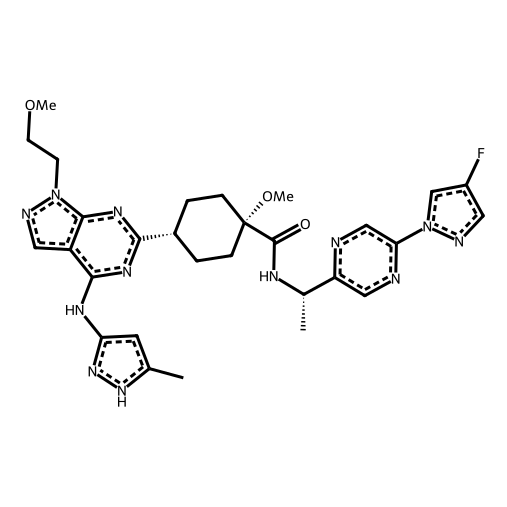 COCCn1ncc2c(Nc3cc(C)[nH]n3)nc([C@H]3CC[C@](OC)(C(=O)N[C@@H](C)c4cnc(-n5cc(F)cn5)cn4)CC3)nc21